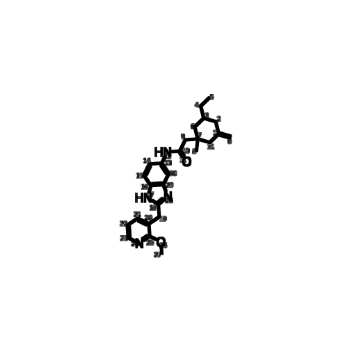 C=C1CC(CC)CC(C)(CC(=O)Nc2ccc3[nH]c(Cc4cccnc4OC)nc3c2)C1